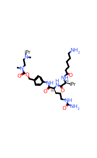 CC(C)[C@H](NC(=O)CCCCCN)C(=O)N[C@@H](CCCNC(N)=O)C(=O)Nc1ccc(COC(=O)N(C)CCN(C)C(C)C)cc1